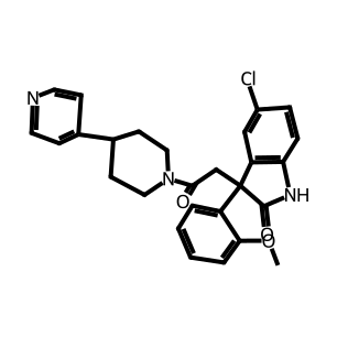 COc1ccccc1C1(CC(=O)N2CCC(c3ccncc3)CC2)C(=O)Nc2ccc(Cl)cc21